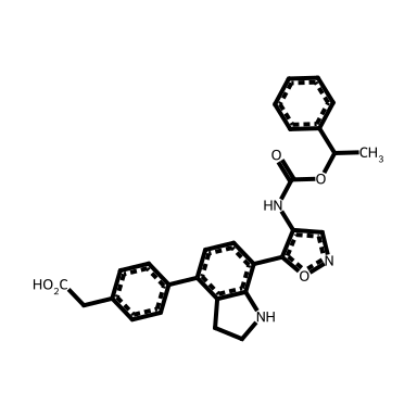 CC(OC(=O)Nc1cnoc1-c1ccc(-c2ccc(CC(=O)O)cc2)c2c1NCC2)c1ccccc1